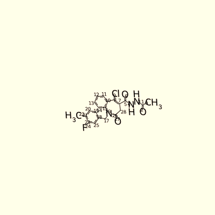 CC(=O)NNC(=O)C1=C(Cl)c2ccccc2N(Cc2ccc(C)c(F)c2)C(=O)C1